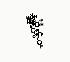 C[C@H]1[C@@H](NC(=Nc2ccc3c(=O)n(CCc4ccc(F)cc4)c(CF)nc3c2)N2CCN[C@@H](CF)C2)C[C@@H]2C[C@@H]1C2(C)C